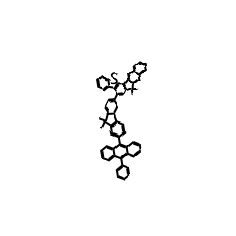 CC1(C)c2ccc(-c3cc4c(c5sc6ccccc6c35)-c3cc5ccccc5cc3C4(C)C)cc2-c2ccc(-c3c4ccccc4c(-c4ccccc4)c4ccccc34)cc21